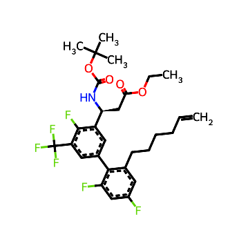 C=CCCCCc1cc(F)cc(F)c1-c1cc([C@H](CC(=O)OCC)NC(=O)OC(C)(C)C)c(F)c(C(F)(F)F)c1